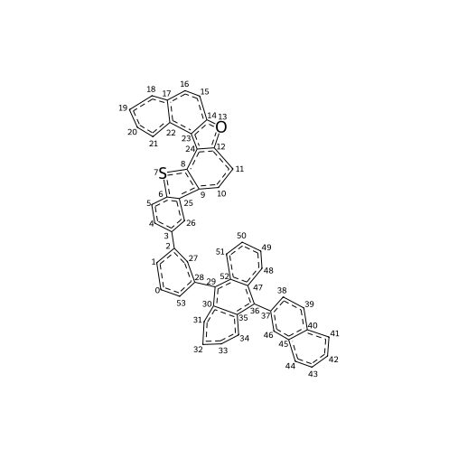 c1cc(-c2ccc3sc4c(ccc5oc6ccc7ccccc7c6c54)c3c2)cc(-c2c3ccccc3c(-c3ccc4ccccc4c3)c3ccccc23)c1